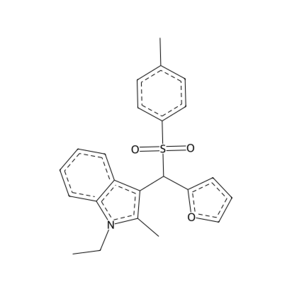 CCn1c(C)c(C(c2ccco2)S(=O)(=O)c2ccc(C)cc2)c2ccccc21